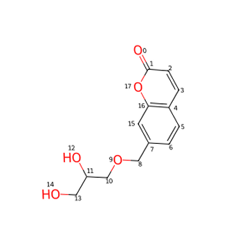 O=c1ccc2ccc(COCC(O)CO)cc2o1